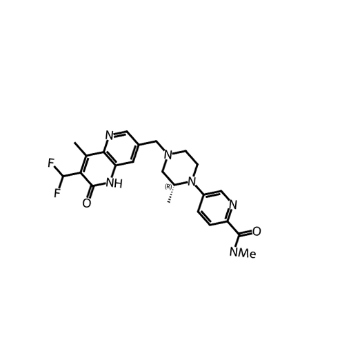 CNC(=O)c1ccc(N2CCN(Cc3cnc4c(C)c(C(F)F)c(=O)[nH]c4c3)C[C@H]2C)cn1